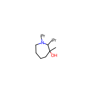 CC(C)C1N(C(C)C)CCCCC1(C)O